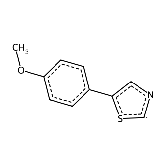 COc1ccc(-c2cn[c]s2)cc1